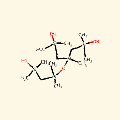 C[Si](C)(O)C[Si](C)(C)O[Si](C)(C[Si](C)(C)O)C[Si](C)(C)O